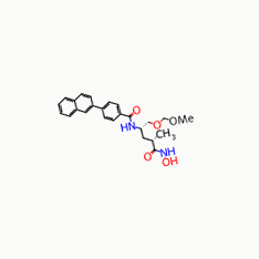 COCOC[C@H](C[C@H](C)C(=O)NO)NC(=O)c1ccc(-c2ccc3ccccc3c2)cc1